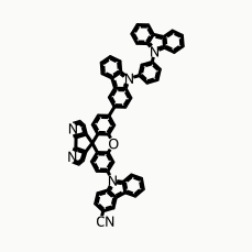 N#Cc1ccc2c(c1)c1ccccc1n2-c1ccc2c(c1)Oc1cc(-c3ccc4c(c3)c3ccccc3n4-c3cccc(-n4c5ccccc5c5ccccc54)c3)ccc1C21c2cccnc2-c2ncccc21